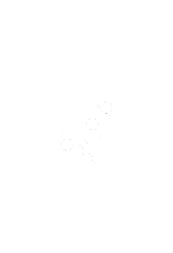 CCc1ccnc(-c2ccc(OCc3c(Cl)cccc3N(N)C(=O)NN)c(C)c2)n1